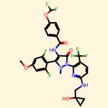 COc1cc(F)c(-c2c(NC(=O)c3ccc(OC(F)F)cc3)c(=O)n(-c3nc(NCC4(O)CC4)ccc3C(F)(F)F)n2C)c(F)c1